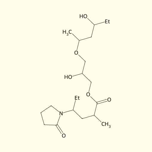 CCC(O)CC(C)OCC(O)COC(=O)C(C)CC(CC)N1CCCC1=O